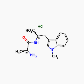 C[C@H](N)C(=O)N[C@H](Cc1cn(C)c2ccccc12)C(=O)O.Cl